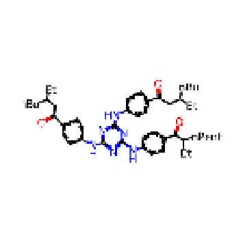 CCCCCC(CC)C(=O)c1ccc(Nc2nc(Nc3ccc(C(=O)CC(CC)CCCC)cc3)nc(Nc3ccc(C(=O)CC(CC)CCCC)cc3)n2)cc1